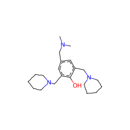 CN(C)Cc1cc(CN2CCCCC2)c(O)c(CN2CCCCC2)c1